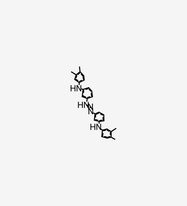 Cc1ccc(Nc2cccc(/N=N/Nc3cccc(Nc4ccc(C)c(C)c4)c3)c2)cc1C